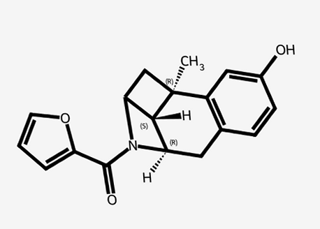 C[C@@]12CC3[C@H]1[C@@H](Cc1ccc(O)cc12)N3C(=O)c1ccco1